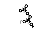 Fc1ccc(-c2nc(-c3ccc(F)cc3)nc(-c3cccc(-c4ccc(-c5nc(-c6ccccc6)nc(-c6ccccc6)n5)cc4)c3)n2)cc1